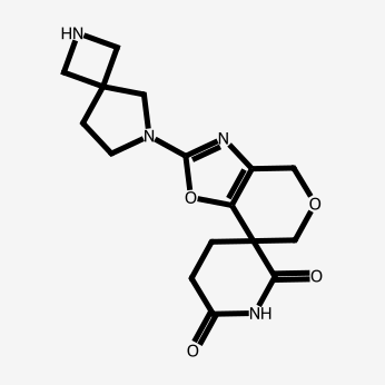 O=C1CCC2(COCc3nc(N4CCC5(CNC5)C4)oc32)C(=O)N1